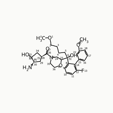 COCCCC[C@](O)(c1cccc(F)c1-c1cccc(OC)c1)C1CN(C(=O)[C@H]2C[C@@H](N)[C@@H](O)C2)CCO1